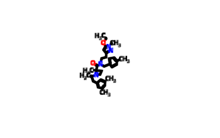 C=C(Cc1cc(C)cc(C)c1)N1CCC1(C)C(=O)N(CCc1cc(OCC)n(C)n1)Cc1ccc(C)cc1